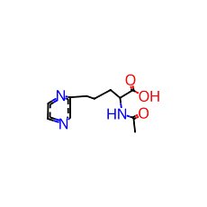 CC(=O)NC(CCCc1cnccn1)C(=O)O